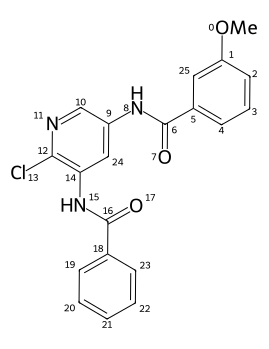 COc1cccc(C(=O)Nc2cnc(Cl)c(NC(=O)c3ccccc3)c2)c1